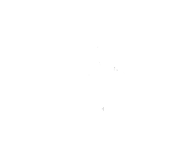 CCCC#CO.COC(N)=O